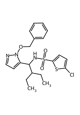 CCC(CC)C(NS(=O)(=O)c1ccc(Cl)s1)c1ccnn1OCc1ccccc1